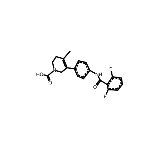 CC1=C(c2ccc(NC(=O)c3c(F)cccc3F)cc2)CN(C(=O)O)CC1